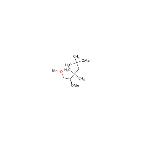 CCOC[C@H](OC)C(C)(C)CC(C)(C)OC